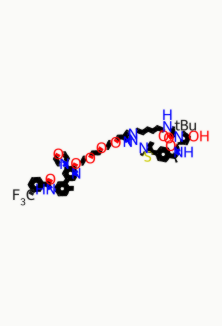 Cc1ccc(NC(=O)c2cccc(C(F)(F)F)c2)cc1-c1cnc(OCCOCCOCCOCc2cn(CCCCCC(=O)N[C@@H](C(=O)N3C[C@H](O)C[C@H]3C(=O)N[C@@H](C)c3ccc(-c4scnc4C)cc3)C(C)(C)C)nn2)c(N2CCOCC2)c1